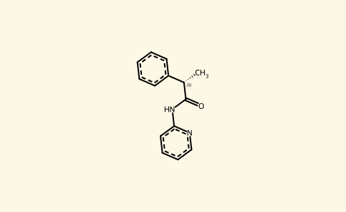 C[C@H](C(=O)Nc1ccccn1)c1ccccc1